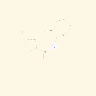 O=C1Nc2ccccc2Oc2c1csc2Cl